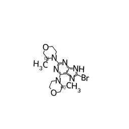 C[C@@H]1COCCN1c1nc(N2CCOC[C@@H]2C)nc2[nH]c(Br)nc12